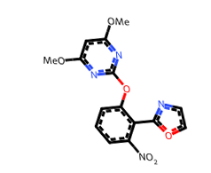 COc1cc(OC)nc(Oc2cccc([N+](=O)[O-])c2-c2ncco2)n1